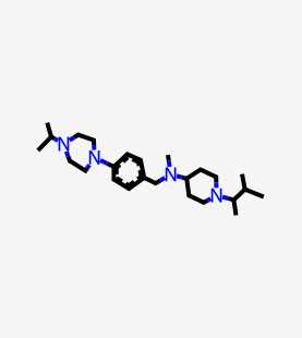 CC(C)C(C)N1CCC(N(C)Cc2ccc(N3CCN(C(C)C)CC3)cc2)CC1